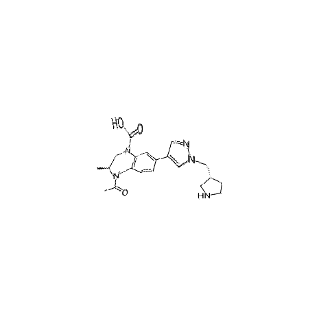 CC(=O)N1c2ccc(-c3cnn(C[C@@H]4CCNC4)c3)cc2N(C(=O)O)C[C@@H]1C